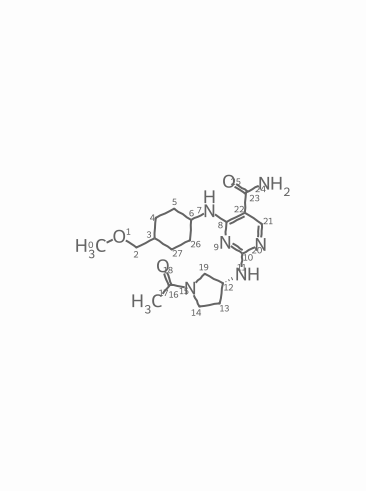 COCC1CCC(Nc2nc(N[C@@H]3CCN(C(C)=O)C3)ncc2C(N)=O)CC1